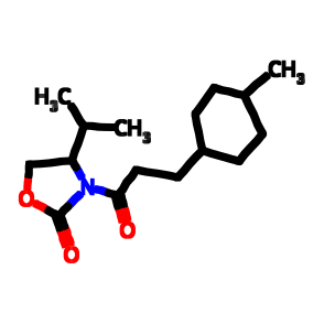 CC1CCC(CCC(=O)N2C(=O)OCC2C(C)C)CC1